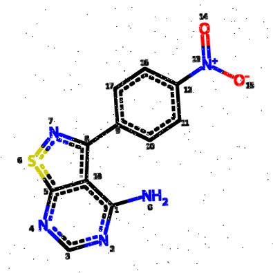 Nc1ncnc2snc(-c3ccc([N+](=O)[O-])cc3)c12